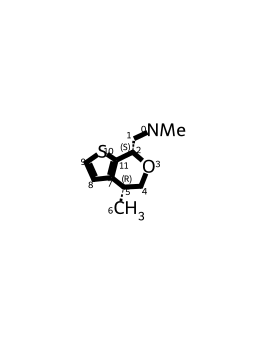 CNC[C@@H]1OC[C@H](C)c2ccsc21